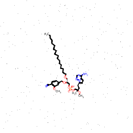 CCCCCCCCCCCCCCCCCCOC[C@H](COP(=O)(O)OC[C@](C)(CCc1ccc2c(N)ncnn12)OC)OCc1ccc(C#N)c(OC)c1